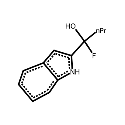 CCCC(O)(F)c1cc2ccccc2[nH]1